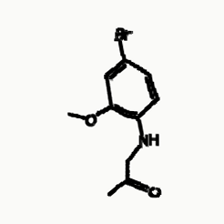 COc1cc(Br)ccc1NCC(C)=O